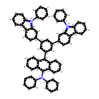 c1ccc(N(c2ccccc2)c2c3ccccc3c(-c3cc(-c4ccc5c6ccccc6n(-c6ccccc6)c5c4)cc(-c4ccc5c6ccccc6n(-c6ccccc6)c5c4)c3)c3ccccc23)cc1